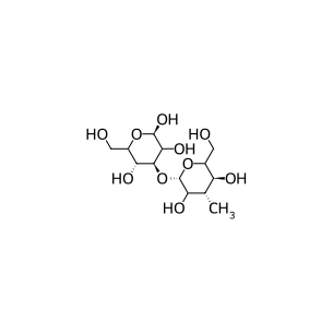 C[C@@H]1C(O)[C@H](O[C@@H]2C(O)[C@H](O)OC(CO)[C@H]2O)OC(CO)[C@H]1O